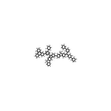 CC1(C)c2ccccc2-c2cc3c4cc(-c5ccc6c(c5)[Si](C)(C)c5cc(N(c7ccc(-c8ccccc8)cc7)c7cccc(-c8ccccc8)c7)ccc5-6)ccc4n(-c4nc(-c5ccccc5)nc(-c5ccc6c7ccccc7c7ccccc7c6c5)n4)c3cc21